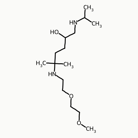 COCCOCCNC(C)(C)CCC(O)CNC(C)C